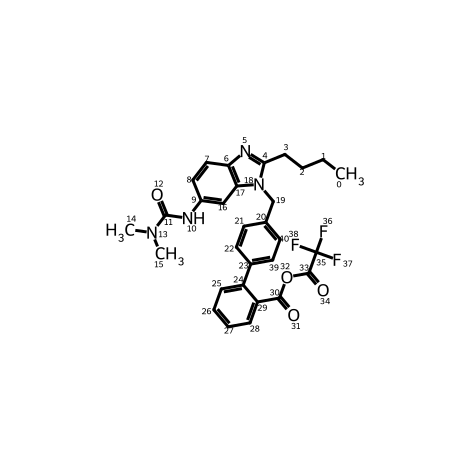 CCCCc1nc2ccc(NC(=O)N(C)C)cc2n1Cc1ccc(-c2ccccc2C(=O)OC(=O)C(F)(F)F)cc1